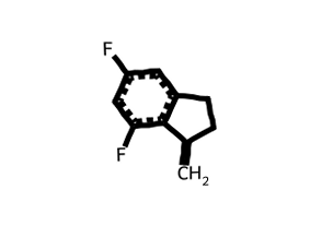 C=C1CCc2cc(F)cc(F)c21